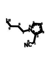 N#CCc1cccn1CCCI